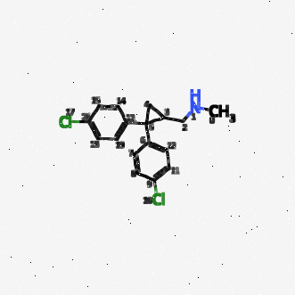 CNCC1CC1(c1ccc(Cl)cc1)c1ccc(Cl)cc1